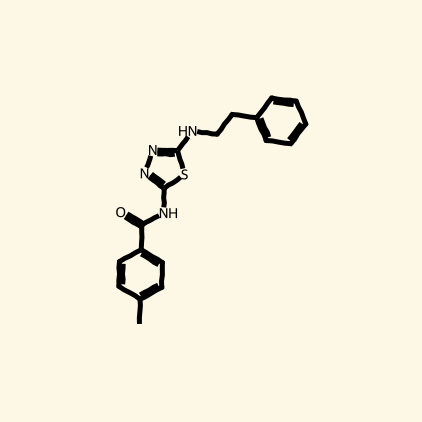 Cc1ccc(C(=O)Nc2nnc(NCCc3ccccc3)s2)cc1